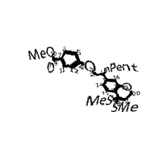 CCCCCC(COc1ccc(C(=O)OC)cc1)c1ccc2c(c1)OCCC2(SC)SC